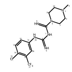 CN1CCN(C(=N)NC(=N)Nc2ccc(Cl)c(C(F)(F)F)c2)CC1